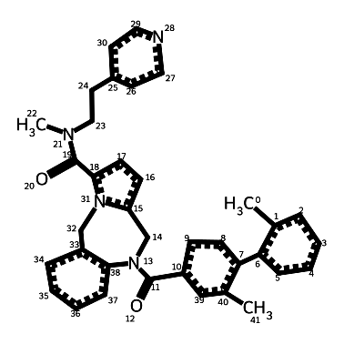 Cc1ccccc1-c1ccc(C(=O)N2Cc3ccc(C(=O)N(C)CCc4ccncc4)n3Cc3ccccc32)cc1C